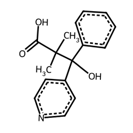 CC(C)(C(=O)O)C(O)(c1ccccc1)c1ccncc1